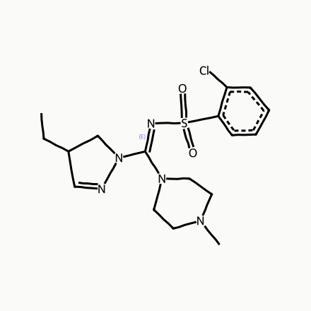 CCC1C=NN(/C(=N/S(=O)(=O)c2ccccc2Cl)N2CCN(C)CC2)C1